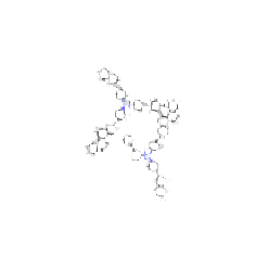 c1ccc(-c2cccc(N(c3ccc(-c4ccc5ccccc5c4)cc3)c3ccc(-c4ccc5c(ccc6c5ccc5cccc(-c7ccc(-c8ccc(N(c9ccc(-c%10ccc%11ccccc%11c%10)cc9)c9ccc(-c%10ccc%11c(ccc%12c%13ccccc%13ccc%11%12)c%10)cc9)cc8)cc7)c56)c4)cc3)c2)cc1